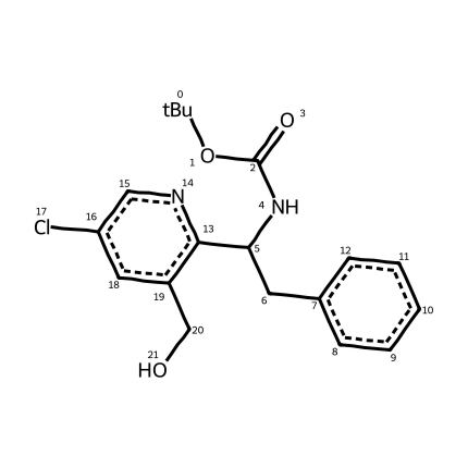 CC(C)(C)OC(=O)NC(Cc1ccccc1)c1ncc(Cl)cc1CO